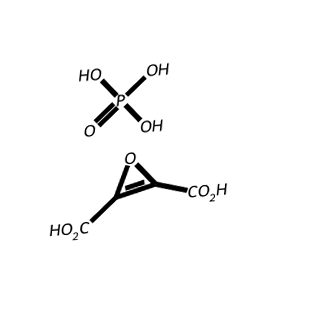 O=C(O)C1=C(C(=O)O)O1.O=P(O)(O)O